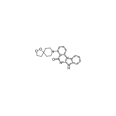 O=c1nc2[nH]c3ccccc3n2c2cccc(N3CCC4(CCOO4)CC3)c12